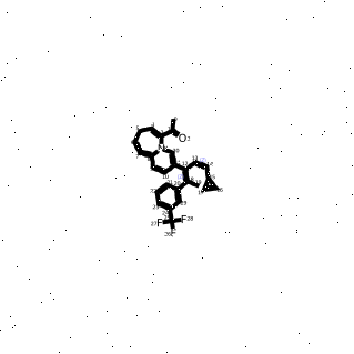 CC(=O)C1=CCC=C=C2C=CC(C(/C=C\C3C=C3)=C(/C)c3cccc(C(F)(F)F)c3)=CN21